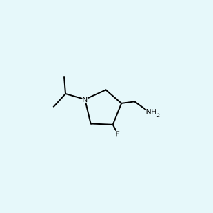 CC(C)N1CC(F)C(CN)C1